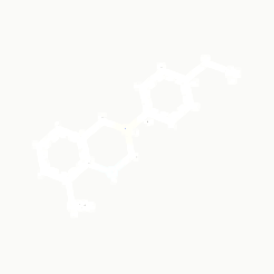 COc1cccc2c1OCN(c1ccc(CC(C)=O)cc1)C2